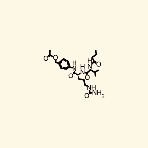 CCCC(=O)NC(C(=O)N[C@@H](CCCNC(N)=O)C(=O)Nc1ccc(COC(C)=O)cc1)C(C)C